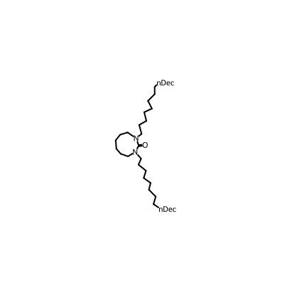 CCCCCCCCCCCCCCCCCCN1CCCCCCN(CCCCCCCCCCCCCCCCCC)C1=O